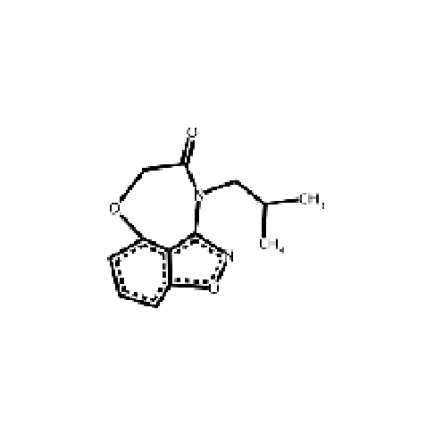 CC(C)CN1C(=O)COc2cccc3onc1c23